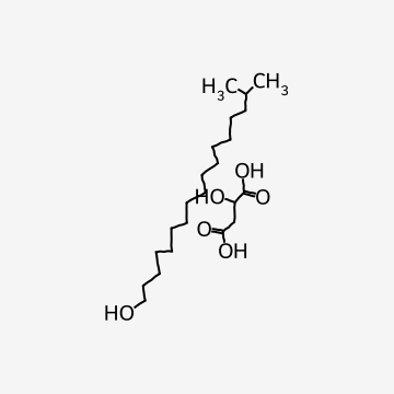 CC(C)CCCCCCCCCCCCCCCO.O=C(O)CC(O)C(=O)O